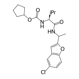 CC(NC(=O)[C@@H](NC(=O)OC1CCCC1)C(C)C)c1cc2cc(Cl)ccc2o1